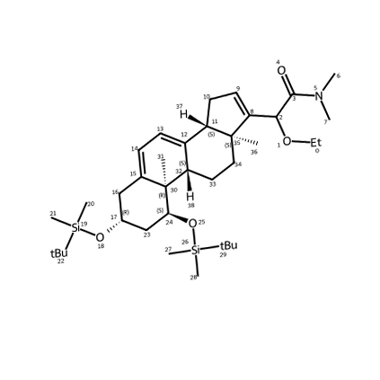 CCOC(C(=O)N(C)C)C1=CC[C@H]2C3=CC=C4C[C@@H](O[Si](C)(C)C(C)(C)C)C[C@H](O[Si](C)(C)C(C)(C)C)[C@]4(C)[C@H]3CC[C@]12C